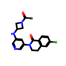 CCC(=O)N1CC(Nc2cncc(N3CCc4cc(Cl)ccc4C3=O)c2)C1